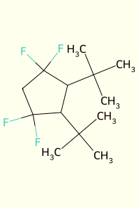 CC(C)(C)C1C(C(C)(C)C)C(F)(F)CC1(F)F